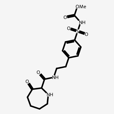 COC(=O)NS(=O)(=O)c1ccc(CCNC(=O)C2NCCCCC2=O)cc1